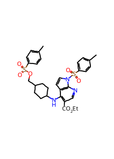 CCOC(=O)c1cnc2c(ccn2S(=O)(=O)c2ccc(C)cc2)c1NC1CCC(COS(=O)(=O)c2ccc(C)cc2)CC1